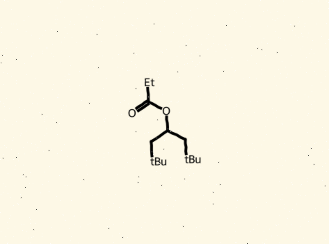 CCC(=O)OC(CC(C)(C)C)CC(C)(C)C